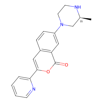 C[C@H]1CN(c2ccc3cc(-c4ccccn4)oc(=O)c3c2)CCN1